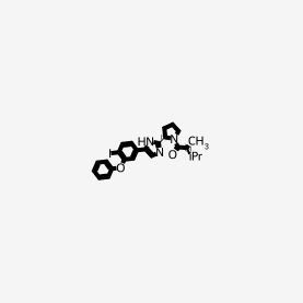 CC(C)[C@H](C)C(=O)N1CCC[C@H]1c1ncc(-c2ccc(I)c(Oc3ccccc3)c2)[nH]1